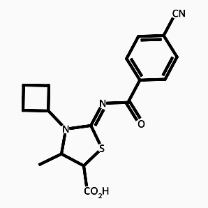 CC1C(C(=O)O)SC(=NC(=O)c2ccc(C#N)cc2)N1C1CCC1